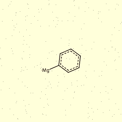 [Mg][c]1ccccc1